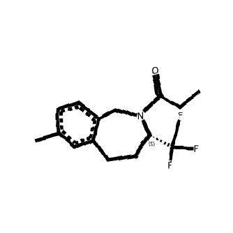 CCC(=O)N1Cc2ccc(C)cc2CC[C@H]1C(F)(F)F